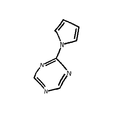 c1ccn(-c2ncncn2)c1